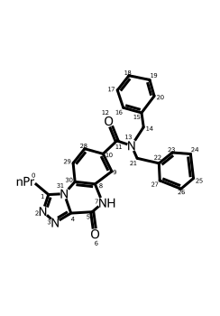 CCCc1nnc2c(=O)[nH]c3cc(C(=O)N(Cc4ccccc4)Cc4ccccc4)ccc3n12